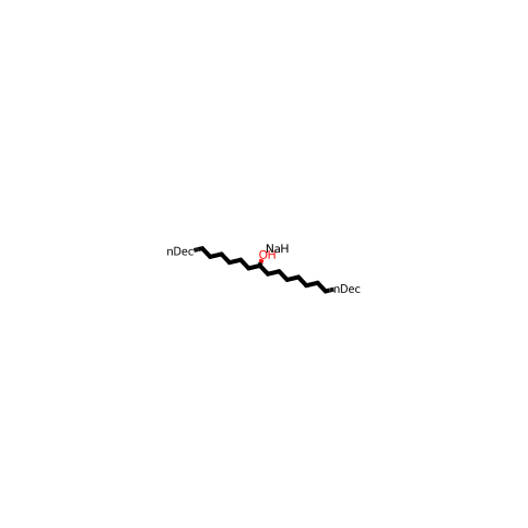 CCCCCCCCCCCCCCCCCC(O)CCCCCCCCCCCCCCCC.[NaH]